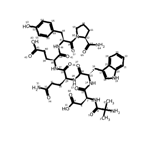 CC(C)(N)C(=O)N[C@@H](CC(=O)O)C(=O)N[C@@H](Cc1c[nH]c2ccccc12)C(=O)N[C@@H](CCC(N)=O)C(=O)N[C@@H](CCC(=O)O)C(=O)N[C@@H](Cc1ccc(O)cc1)C(=O)N1CCC[C@H]1C(N)=O